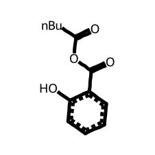 CCCCC(=O)OC(=O)c1ccccc1O